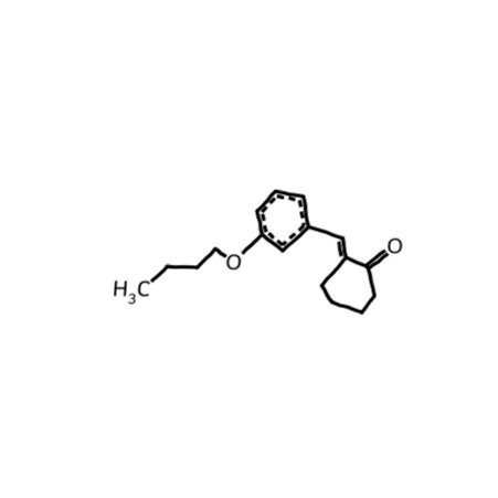 CCCCOc1cccc(C=C2CCCCC2=O)c1